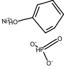 O=[PH]([O-])[O-].Oc1ccccc1.[Ni+2]